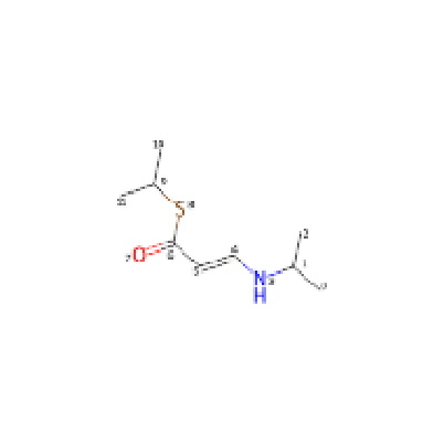 CC(C)NC=CC(=O)SC(C)C